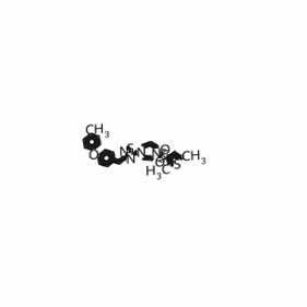 Cc1ccc(Oc2ccc(Cc3nsc(N4CCCN(S(=O)(=O)c5cc(C)sc5C)CC4)n3)cc2)cc1